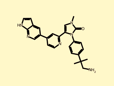 Cn1cc(-c2cc(-c3cnc4[nH]ccc4c3)ccn2)n(-c2ccc(C(C)(C)CN)cc2)c1=O